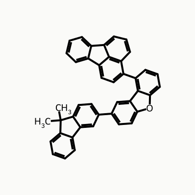 CC1(C)c2ccccc2-c2cc(-c3ccc4oc5cccc(-c6ccc7c8c(cccc68)-c6ccccc6-7)c5c4c3)ccc21